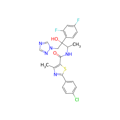 Cc1nc(-c2ccc(Cl)cc2)sc1C(=O)NC(C)C(O)(Cn1cncn1)c1ccc(F)cc1F